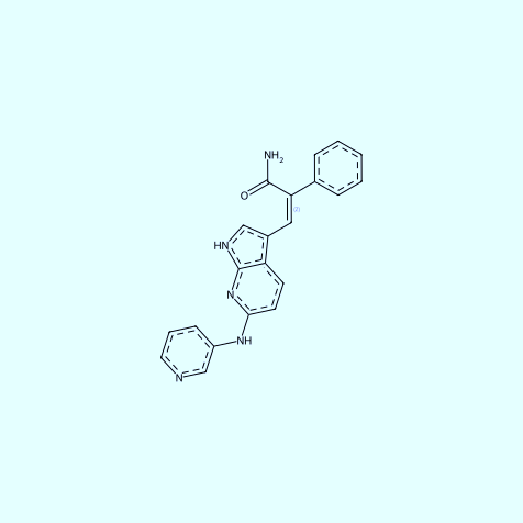 NC(=O)/C(=C\c1c[nH]c2nc(Nc3cccnc3)ccc12)c1ccccc1